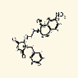 O=C1SC(=O)N(Cc2ccccc2)C1OCCN1CSc2ccc([N+](=O)[O-])cc2C1=O